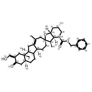 CC1=C2C[C@H]3C(CC[C@H]4CC(=O)/C(=C\O)C[C@@]43C)[C@@H]2CC[C@@]2(C1)O[C@@H]1C[C@H](C)CN(C(=O)OCc3ccccc3)[C@H]1[C@H]2C